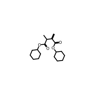 C=C(C(=O)OC1CCCCC1)C(C)C(=O)OC1CCCCC1